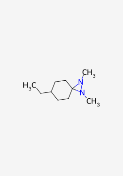 CCC1CCC2(CC1)N(C)N2C